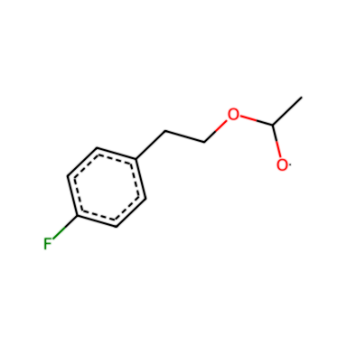 CC([O])OCCc1ccc(F)cc1